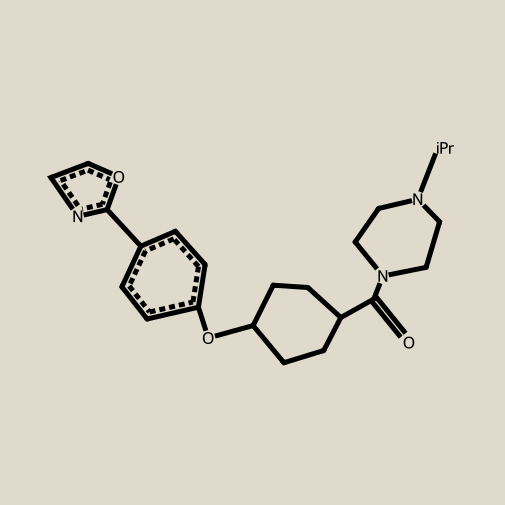 CC(C)N1CCN(C(=O)C2CCC(Oc3ccc(-c4ncco4)cc3)CC2)CC1